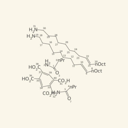 CCCC(N)=O.CCCC(N)=O.CCCCCCCCC=CCCCCCCCCN.CCCCCCCCC=CCCCCCCCCN.O=C(O)c1cc(C(=O)O)c(C(=O)O)cc1C(=O)O